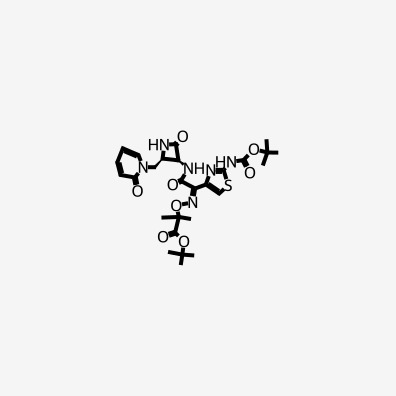 CC(C)(C)OC(=O)Nc1nc(/C(=N/OC(C)(C)C(=O)OC(C)(C)C)C(=O)N[C@@H]2C(=O)N[C@@H]2Cn2ccccc2=O)cs1